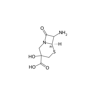 NC1C(=O)N2CC(O)(C(=O)O)CS[C@H]12